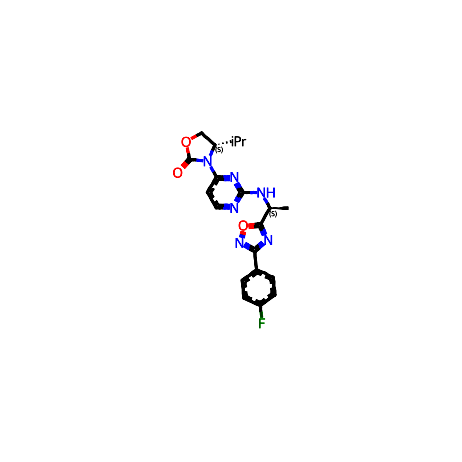 CC(C)[C@H]1COC(=O)N1c1ccnc(N[C@@H](C)c2nc(-c3ccc(F)cc3)no2)n1